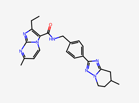 CCc1nc2nc(C)ccn2c1C(=O)NCc1ccc(-c2nc3n(n2)CCC(C)C3)cc1